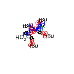 CC(=O)N(Cl)[C@@H](CNC(=O)OC(C)(C)C)C(=O)N[C@@H](Cc1ccc(OCC(=O)OC(C)(C)C)cc1)C(=O)N[C@@H](CC(=O)OC(C)(C)C)C(=O)N[C@@H](Cc1ccccc1)C(=O)N[C@@H](Cc1ccc(OCC(=O)OC(C)(C)C)c(C)c1)C(=O)O